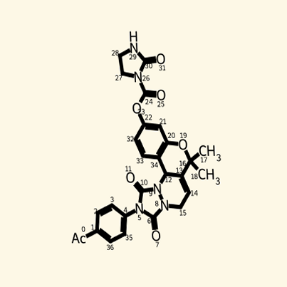 CC(=O)c1ccc(-n2c(=O)n3n(c2=O)C2C(=CC3)C(C)(C)Oc3cc(OC(=O)N4CCNC4=O)ccc32)cc1